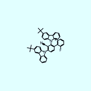 CC(C)(C)c1ccc2c(c1)c1ccccc1n2-c1ccc(-c2c(F)cccc2F)c(-n2c3ccccc3c3cc(C(C)(C)C)ccc32)c1C#N